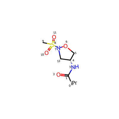 CC(C)C(=O)N[C@H]1CON(S(C)(=O)=O)C1